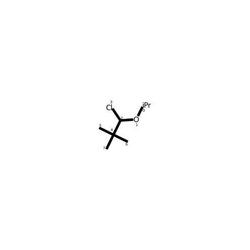 CC(C)OC(Cl)C(C)(C)C